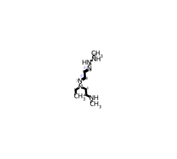 CCN(CCNC)/N=C/C=N/NNC